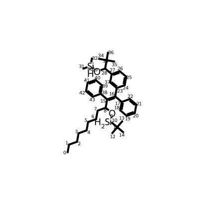 CCCCCCCCC(O[SiH2]C(C)(C)C)C(=C(c1ccccc1)c1cccc(C(O[SiH](C)C)C(C)(C)C)c1)c1ccccc1